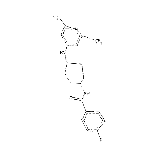 O=C(N[C@H]1CC[C@@H](Nc2cc(C(F)(F)F)nc(C(F)(F)F)c2)CC1)c1ccc(F)cc1